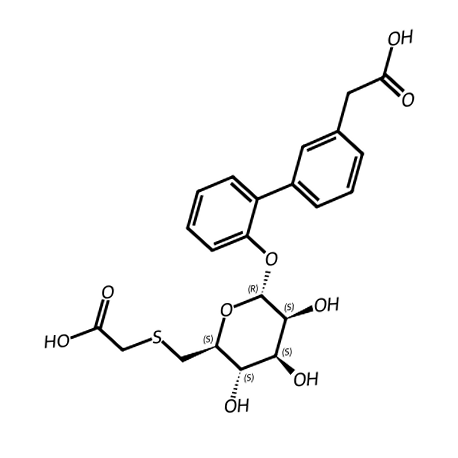 O=C(O)CSC[C@H]1O[C@H](Oc2ccccc2-c2cccc(CC(=O)O)c2)[C@@H](O)[C@@H](O)[C@@H]1O